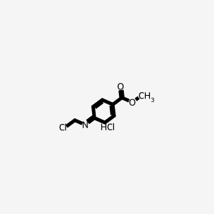 COC(=O)C1=CCC(=NCCl)C=C1.Cl